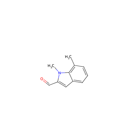 Cc1cccc2cc(C=O)n(C)c12